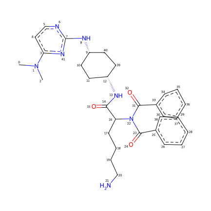 CN(C)c1ccnc(N[C@H]2CC[C@@H](NC(=O)C(CCCCN)N(C(=O)c3ccccc3)C(=O)c3ccccc3)CC2)n1